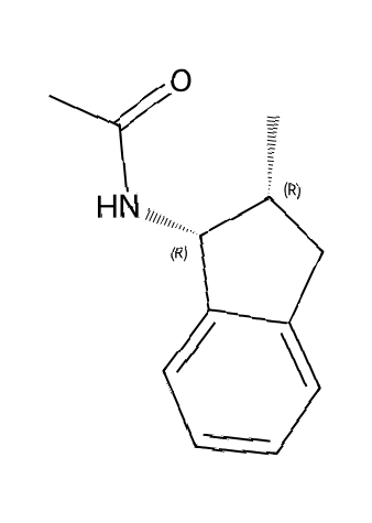 CC(=O)N[C@H]1c2ccccc2C[C@H]1C